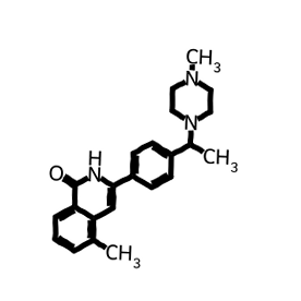 Cc1cccc2c(=O)[nH]c(-c3ccc(C(C)N4CCN(C)CC4)cc3)cc12